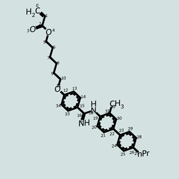 C=CC(=O)OCCCCCCOc1ccc(C(=N)Nc2ccc(-c3ccc(CCC)cc3)cc2C)cc1